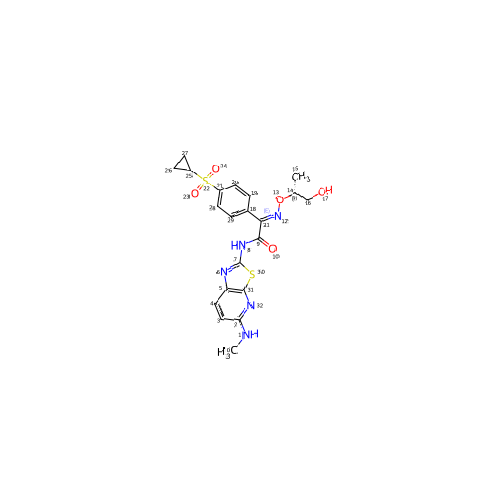 CNc1ccc2nc(NC(=O)/C(=N/O[C@H](C)CO)c3ccc(S(=O)(=O)C4CC4)cc3)sc2n1